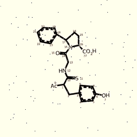 CC(=O)C(Cc1ccc(O)cc1)C(=S)NCC(=O)N1C(c2ccccc2)CC[C@H]1C(=O)O